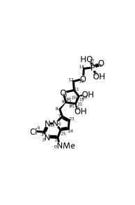 CNc1nc(Cl)nn2c(C[C@H]3OC(COCP(=O)(O)O)[C@@H](O)[C@H]3O)ccc12